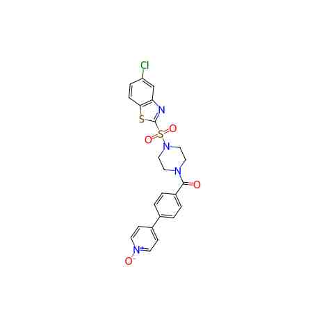 O=C(c1ccc(-c2cc[n+]([O-])cc2)cc1)N1CCN(S(=O)(=O)c2nc3cc(Cl)ccc3s2)CC1